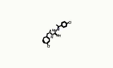 C/C(=N\NC(=N)NN(C)CC1=CC=C(Cl)C#CC1)c1ccc(Cl)cc1